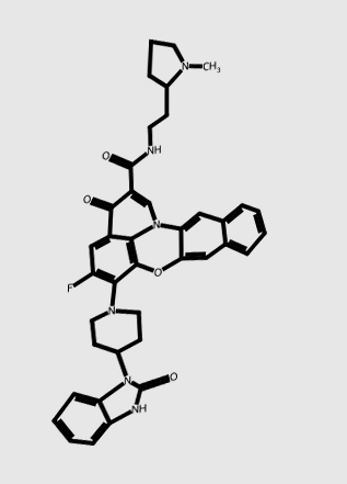 CN1CCCC1CCNC(=O)c1cn2c3c(c(N4CCC(n5c(=O)[nH]c6ccccc65)CC4)c(F)cc3c1=O)Oc1cc3ccccc3cc1-2